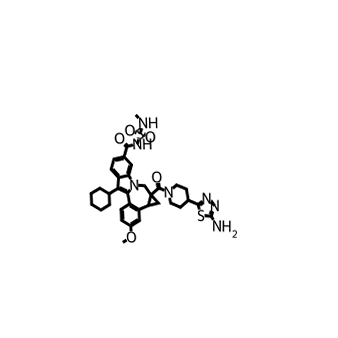 CNS(=O)(=O)NC(=O)c1ccc2c(C3CCCCC3)c3n(c2c1)CC1(C(=O)N2CCC(c4nnc(N)s4)CC2)CC1c1cc(OC)ccc1-3